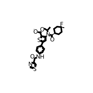 COC(=O)c1sc(-c2ccc(NC(=O)c3cscn3)cc2)cc1N(C(=O)[C@H]1CC[C@](C)(F)CC1)C(C)C